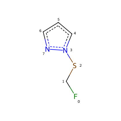 FCSn1cccn1